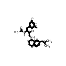 CC(=O)NC(Cc1cc(F)cc(F)c1)C(O)CNC1CCCc2ccc(CC(C)C)cc21